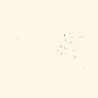 CCOc1ccc(C(=O)N2CCN(c3ccc(-c4ccccc4OCC)cc3CN(CCN(CCCOCCOCCOCCOCCNC(=O)OC(C)(C)C)S(=O)(=O)c3ccccc3[N+](=O)[O-])S(=O)(=O)c3ccccc3[N+](=O)[O-])[C@H](CC)C2)c(C(F)(F)F)c1